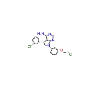 Nc1ncnc2c1c(-c1cccc(Cl)c1)cn2-c1cccc(OCCCl)c1